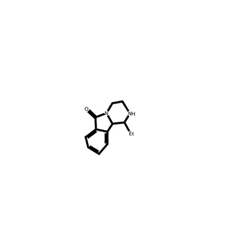 CCC1NCCN2C(=O)c3ccccc3C12